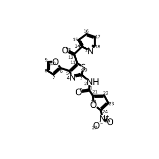 O=C(Nc1nc(-c2ccco2)c(C(=O)c2ccccn2)s1)c1ccc([N+](=O)[O-])o1